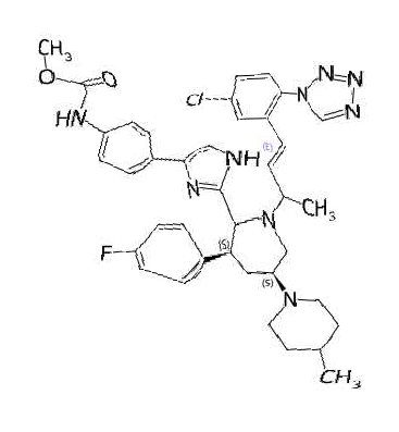 COC(=O)Nc1ccc(-c2c[nH]c(C3[C@H](c4ccc(F)cc4)C[C@H](N4CCC(C)CC4)CN3C(C)/C=C/c3cc(Cl)ccc3-n3cnnn3)n2)cc1